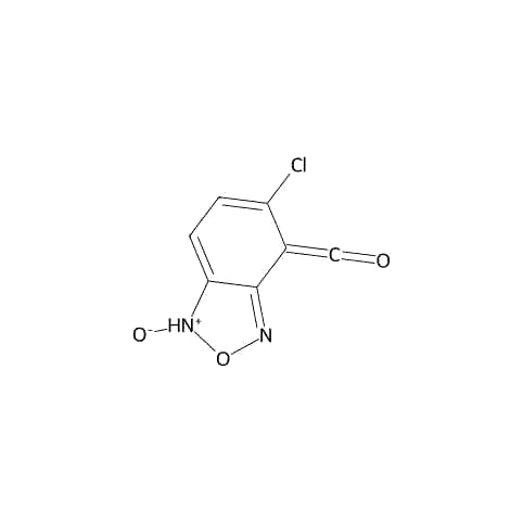 O=C=c1c(Cl)ccc2c1=NO[NH+]2[O-]